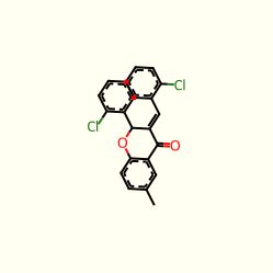 Cc1ccc2c(c1)C(=O)/C(=C/c1ccccc1Cl)C(c1ccccc1Cl)O2